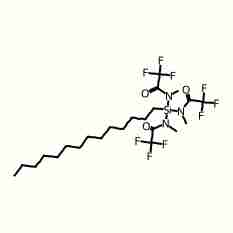 CCCCCCCCCCCCCC[Si](N(C)C(=O)C(F)(F)F)(N(C)C(=O)C(F)(F)F)N(C)C(=O)C(F)(F)F